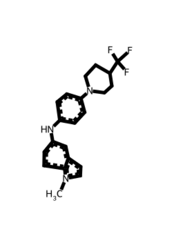 Cn1ccc2cc(Nc3ccc(N4CCC(C(F)(F)F)CC4)cc3)ccc21